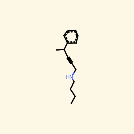 CCCCNCC#CC(C)c1ccccc1